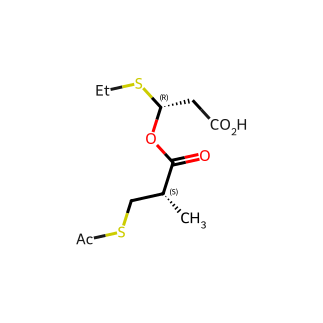 CCS[C@H](CC(=O)O)OC(=O)[C@H](C)CSC(C)=O